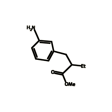 CCC(Cc1cccc(N)c1)C(=O)OC